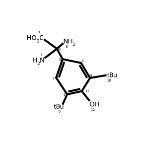 CC(C)(C)c1cc(C(N)(N)C(=O)O)cc(C(C)(C)C)c1O